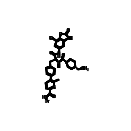 Cc1nc(C(=O)NC(C)C)ccc1-c1ccc(C[C@H](NC(=O)[C@H]2CC[C@H](CN)CC2)C(=O)Nc2cc(Cl)c3oc(=O)[nH]c3c2)cc1